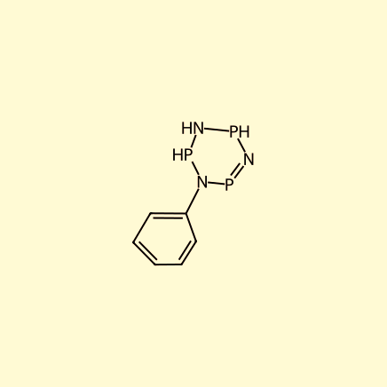 c1ccc(-n2pn[pH][nH][pH]2)cc1